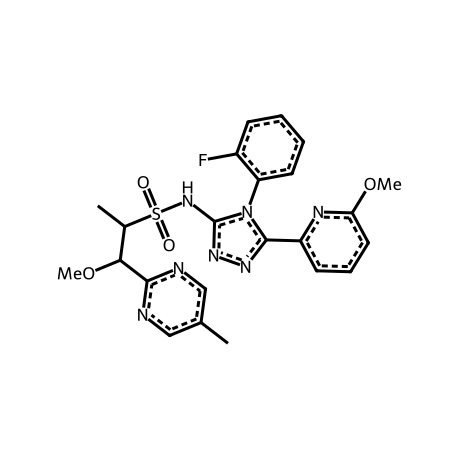 COc1cccc(-c2nnc(NS(=O)(=O)C(C)C(OC)c3ncc(C)cn3)n2-c2ccccc2F)n1